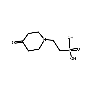 O=C1CCN(CCP(=O)(O)O)CC1